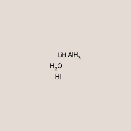 I.O.[AlH3].[LiH]